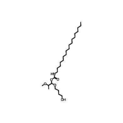 CCCCCCCCCCCCCCCCCCNC(=O)OC(OCCCCO)C(C)OC